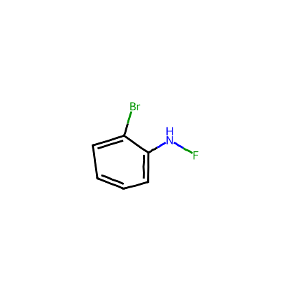 FNc1ccccc1Br